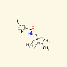 CCN(C)C(CC)(CC)CNC(=O)c1cc(CI)on1